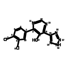 Oc1c(-c2ccc(Cl)c(Cl)c2)ncnc1-c1nn[nH]n1